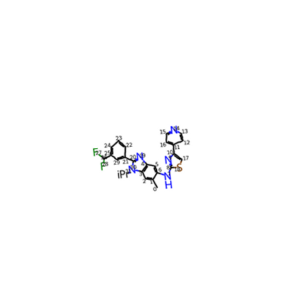 Cc1cc2c(cc1Nc1nc(-c3ccncc3)cs1)nc(-c1cccc(C(F)F)c1)n2C(C)C